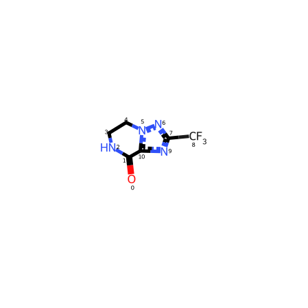 O=C1NCCn2nc(C(F)(F)F)nc21